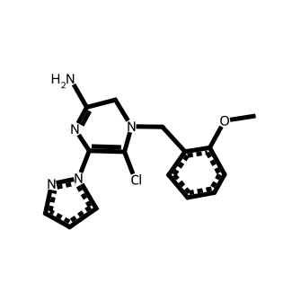 COc1ccccc1CN1CC(N)=NC(n2cccn2)=C1Cl